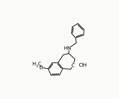 COc1ccc2c(c1)CC(NCc1ccccc1)CCC2.Cl